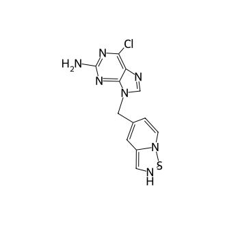 Nc1nc(Cl)c2ncn(CC3=CC4=CNSN4C=C3)c2n1